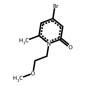 COCCn1c(C)cc(Br)cc1=O